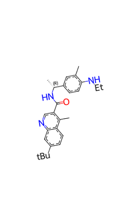 CCNc1ccc([C@@H](C)NC(=O)c2cnc3cc(C(C)(C)C)ccc3c2C)cc1C